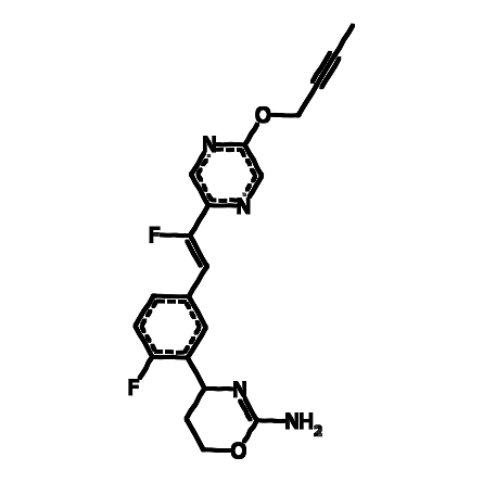 CC#CCOc1cnc(/C(F)=C/c2ccc(F)c(C3CCOC(N)=N3)c2)cn1